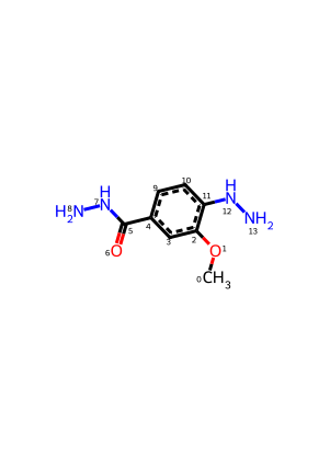 COc1cc(C(=O)NN)ccc1NN